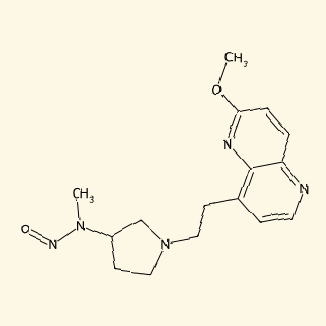 COc1ccc2nccc(CCN3CCC(N(C)N=O)C3)c2n1